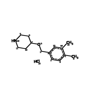 Cc1ccc(COC2CCNCC2)cc1C.Cl